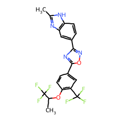 Cc1nc2cc(-c3noc(-c4ccc(OC(C)C(F)(F)F)c(C(F)(F)F)c4)n3)ccc2[nH]1